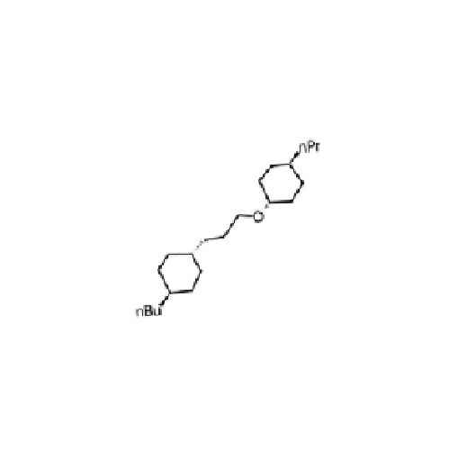 CCCC[C@H]1CC[C@H](CCCO[C@H]2CC[C@H](CCC)CC2)CC1